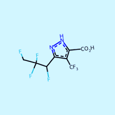 O=C(O)c1[nH]nc(C(F)C(F)(F)CF)c1C(F)(F)F